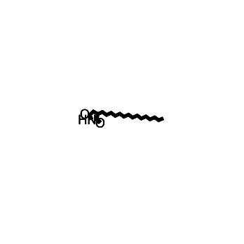 CCCCCCCCCCCCCCCC1CC(=O)NC1=O